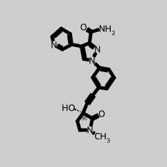 CN1CC[C@@](O)(C#Cc2cccc(-n3cc(-c4cccnc4)c(C(N)=O)n3)c2)C1=O